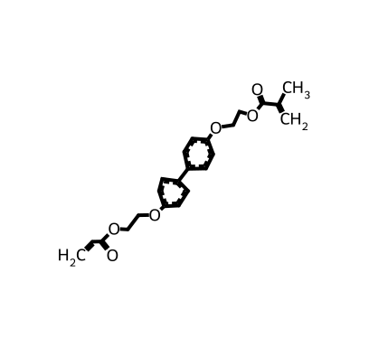 C=CC(=O)OCCOc1ccc(-c2ccc(OCCOC(=O)C(=C)C)cc2)cc1